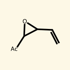 C=CC1OC1C(C)=O